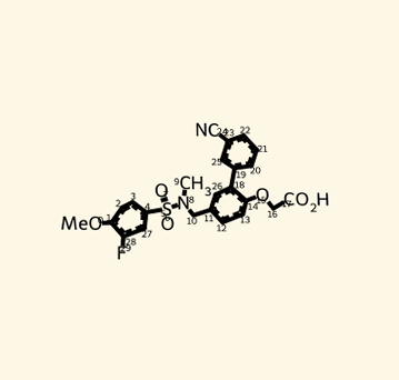 COc1ccc(S(=O)(=O)N(C)Cc2ccc(OCC(=O)O)c(-c3cccc(C#N)c3)c2)cc1F